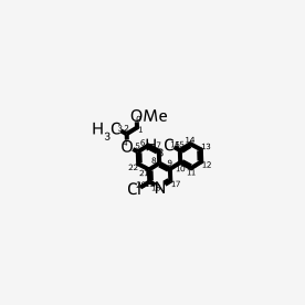 COCC(C)Oc1ccc2c(-c3ccccc3C)cnc(Cl)c2c1